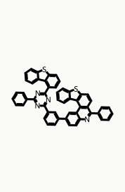 c1ccc(-c2nc(-c3cccc(-c4ccc5nc(-c6ccccc6)c6ccc7sc8ccccc8c7c6c5c4)c3)nc(-c3cccc4sc5ccccc5c34)n2)cc1